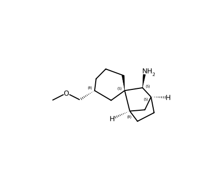 COC[C@@H]1CCC[C@]2(C1)[C@@H]1CC[C@@H](C1)[C@@H]2N